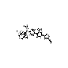 C[C@@]12CCC[C@@H](C[C@H](N(c3cnc(-c4ccc(-c5csc(C#N)n5)cc4O)nn3)C3CC3)C1)N2